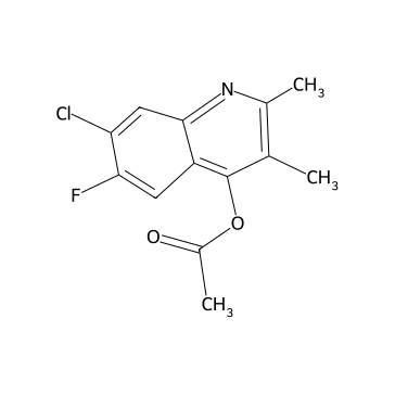 CC(=O)Oc1c(C)c(C)nc2cc(Cl)c(F)cc12